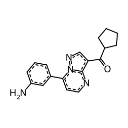 Nc1cccc(-c2ccnc3c(C(=O)C4CCCC4)cnn23)c1